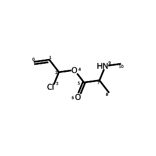 C=CC(Cl)OC(=O)C(C)NC